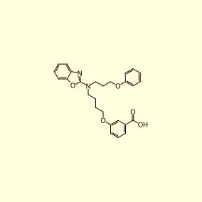 O=C(O)c1cccc(OCCCCN(CCCOc2ccccc2)c2nc3ccccc3o2)c1